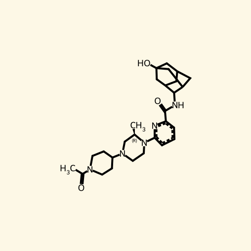 CC(=O)N1CCC(N2CCN(c3cccc(C(=O)NC4C5CC6CC4CC(O)(C6)C5)n3)[C@H](C)C2)CC1